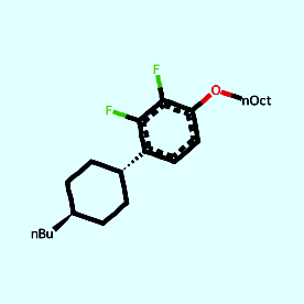 CCCCCCCCOc1ccc([C@H]2CC[C@H](CCCC)CC2)c(F)c1F